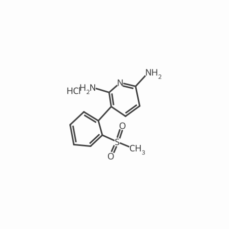 CS(=O)(=O)c1ccccc1-c1ccc(N)nc1N.Cl